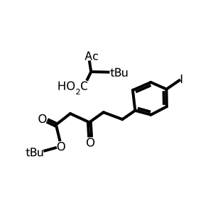 CC(=O)C(C(=O)O)C(C)(C)C.CC(C)(C)OC(=O)CC(=O)CCc1ccc(I)cc1